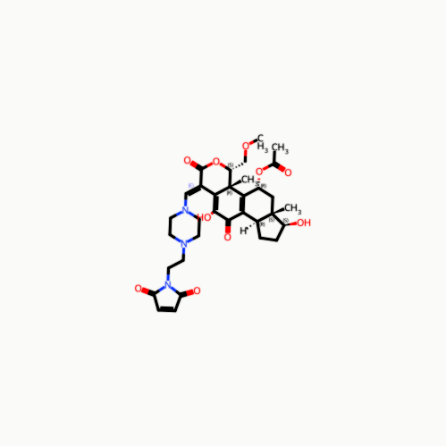 COC[C@H]1OC(=O)/C(=C/N2CCN(CCN3C(=O)C=CC3=O)CC2)C2=C(O)C(=O)C3=C([C@H](OC(C)=O)C[C@]4(C)[C@@H](O)CC[C@@H]34)[C@]21C